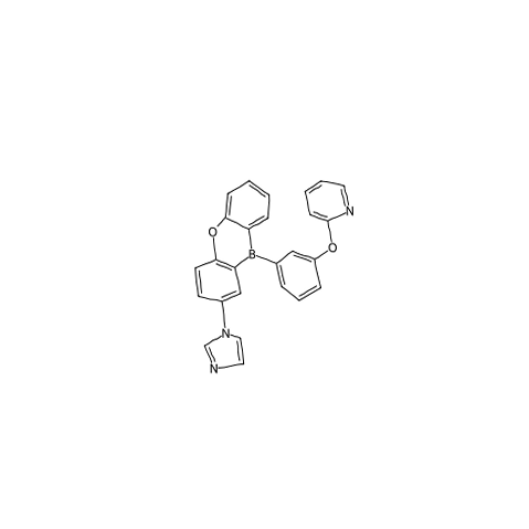 c1ccc(Oc2cccc(B3c4ccccc4Oc4ccc(-n5ccnc5)cc43)c2)nc1